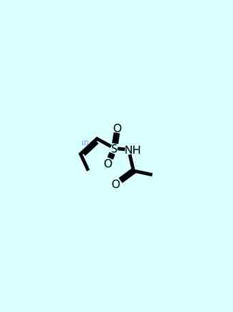 C/C=C\S(=O)(=O)NC(C)=O